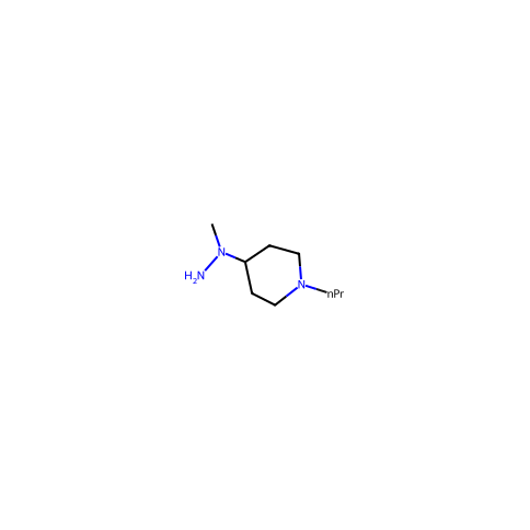 CCCN1CCC(N(C)N)CC1